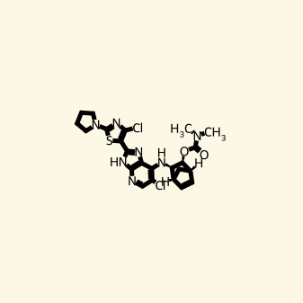 CN(C)C(=O)O[C@@H]1[C@H](Nc2c(Cl)cnc3[nH]c(-c4sc(N5CCCC5)nc4Cl)nc23)[C@H]2C=C[C@@H]1C2